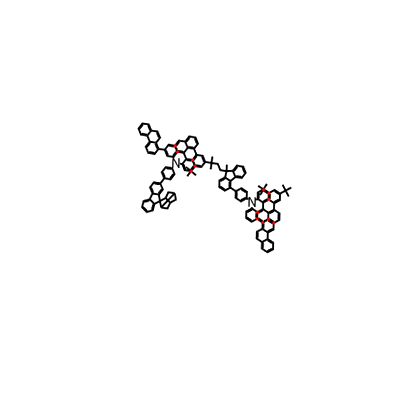 CC(C)(C)c1cc(-c2cccc3cccc(-c4ccccc4N(c4ccc(-c5cccc6c5-c5ccccc5C6(C)CCC(C)(C)c5cc(-c6cccc7cccc(-c8ccccc8N(c8ccc(-c9ccc%10c(c9)C9(c%11ccccc%11-%10)C%10CC%11CC%10CC%119)cc8)c8cccc(-c9cccc%10c9ccc9ccccc9%10)c8)c67)cc(C(C)(C)C)c5)cc4)c4cccc(-c5cccc6c5ccc5ccccc56)c4)c23)cc(C(C)(C)C)c1